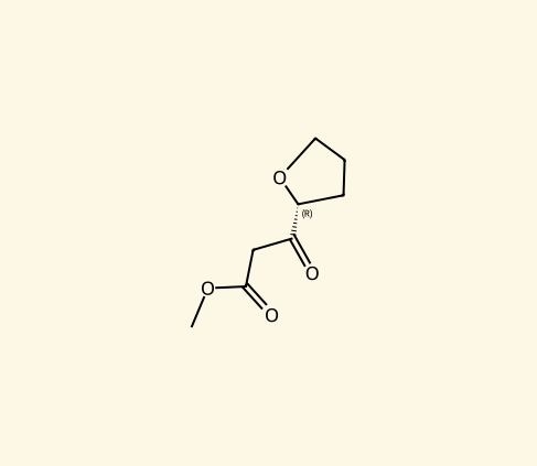 COC(=O)CC(=O)[C@H]1CCCO1